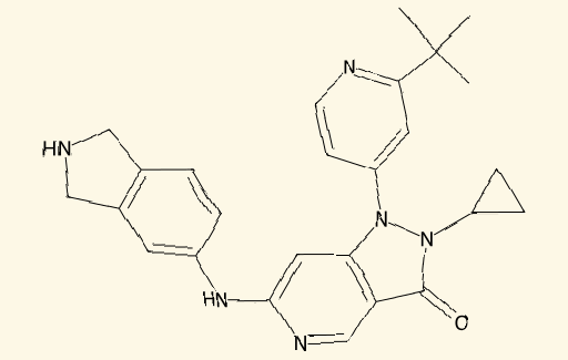 CC(C)(C)c1cc(-n2c3cc(Nc4ccc5c(c4)CNC5)ncc3c(=O)n2C2CC2)ccn1